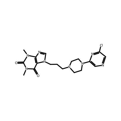 Cn1c(=O)c2c(ncn2CCCN2CCN(c3cncc(Cl)n3)CC2)n(C)c1=O